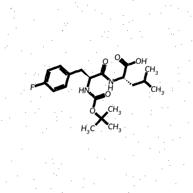 CC(C)C[C@H](NC(=O)[C@H](Cc1ccc(F)cc1)NC(=O)OC(C)(C)C)C(=O)O